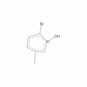 Cc1ccc(Br)[n+](O)c1